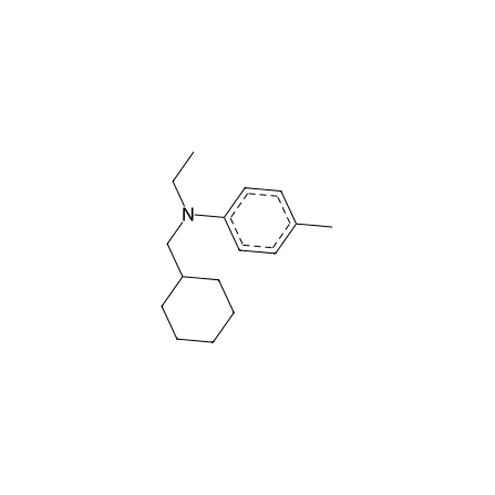 CCN(CC1CCCCC1)c1ccc(C)cc1